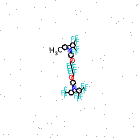 Cc1ccc2c3cc(C(F)(F)F)cc(C(F)(F)F)c3n(-c3ccc(OCC(F)(F)C(F)(F)C(F)(F)C(F)(F)COc4ccc(-n5c6cc(C(F)(F)F)ccc6c6c(C(F)(F)F)cc(C(F)(F)F)cc65)cc4)cc3)c2c1